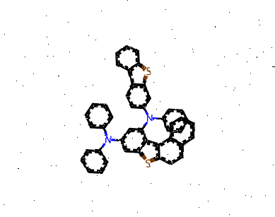 c1ccc(N(c2ccccc2)c2cc(N(c3ccccc3)c3ccc4c(c3)sc3ccccc34)c3c(c2)sc2ccc4ccccc4c23)cc1